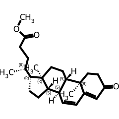 COC(=O)CC[C@@H](C)[C@H]1CC[C@H]2[C@@H]3C=CC4=CC(=O)CC[C@]4(C)[C@H]3CC[C@]12C